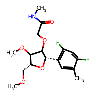 CNC(=O)COC1C(OC)[C@@H](COC)O[C@H]1c1cc(C)c(F)cc1F